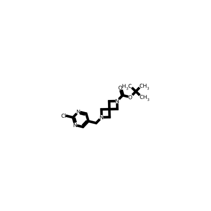 CC(C)(C)OC(=O)N1CC2(CN(Cc3cnc(Cl)nc3)C2)C1